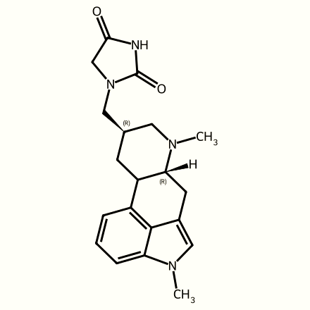 CN1C[C@H](CN2CC(=O)NC2=O)CC2c3cccc4c3c(cn4C)C[C@H]21